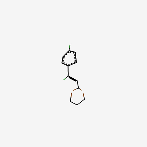 Cl/C(=C\C1SCCCS1)c1ccc(Br)cc1